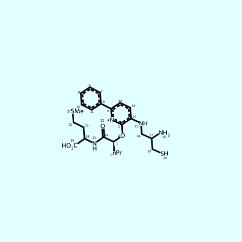 CCC[C@H](Oc1nc(-c2ccccc2)ccc1NCC(N)CS)C(=O)NC(CCSC)C(=O)O